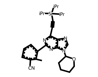 Cc1c(C#N)cccc1-c1nc(C#C[Si](C(C)C)(C(C)C)C(C)C)c2ncn(C3CCCCO3)c2n1